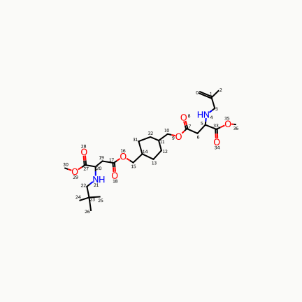 C=C(C)CNC(CC(=O)OCC1CCC(COC(=O)CC(NCC(C)(C)C)C(=O)OC)CC1)C(=O)OC